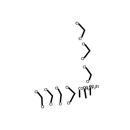 CCOC(C)=O.CCOC(C)=O.CCOC(C)=O.ClCCl.ClCCl.ClCCl.ClCCl.ClCCl.ClCCl.ClCCl